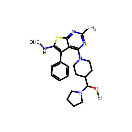 CCOC(C1CCN(c2nc(C)nc3sc(NC=O)c(-c4ccccc4)c23)CC1)N1CCCC1